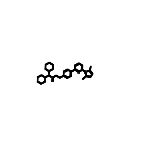 Cc1ccc(C)n1-c1cccc(-c2ccc(CCNC(C3CCCCC3)C3CCCCC3)cc2)n1